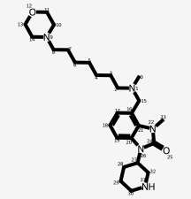 CN(CCCCCCCN1CCOCC1)Cc1cccc2c1n(C)c(=O)n2C1CCCNC1